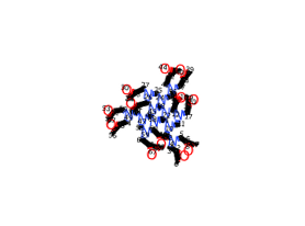 C1OC1CN(CC1CO1)CN(CN(CC1CO1)CC1CO1)c1nc(N(CN(CC2CO2)CC2CO2)CN(CC2CO2)CC2CO2)nc(N(CN(CC2CO2)CC2CO2)CN(CC2CO2)CC2CO2)n1